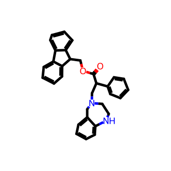 O=C(OCC1c2ccccc2-c2ccccc21)C(CN1CCNc2ccccc2C1)c1ccccc1